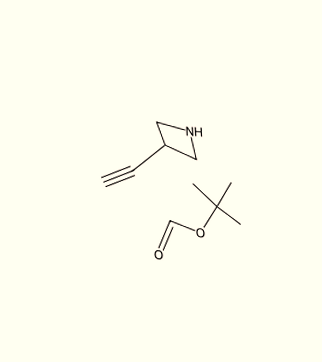 C#CC1CNC1.CC(C)(C)OC=O